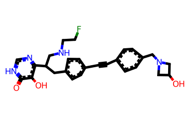 O=c1[nH]cnc(C(CNCCF)Cc2ccc(C#Cc3ccc(CN4CC(O)C4)cc3)cc2)c1O